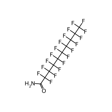 NC(=O)C(F)(F)C(F)(F)C(F)(F)C(F)(F)C(F)(F)C(F)(F)C(F)(F)C(F)(F)C(F)(F)F